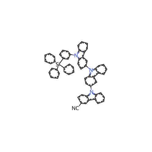 N#Cc1ccc2c(c1)c1ccccc1n2-c1ccc2c(c1)c1ccccc1n2-c1ccc2c(c1)c1ccccc1n2-c1cccc([Si](c2ccccc2)(c2ccccc2)c2ccccc2)c1